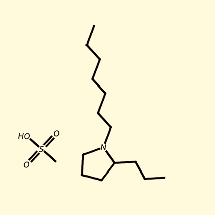 CCCCCCCN1CCCC1CCC.CS(=O)(=O)O